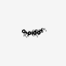 CCC(CC)(c1ccc(/C=C/C2(O)CCCCC2)c(C)c1)c1ccc(-c2cccc(CC(C)=O)c2)c(C)c1